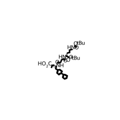 C[C@H](C[C@@H](Cc1ccc(-c2ccccc2)cc1)NC(=O)CCC(=O)N[C@@H](CCCCNC(=O)OC(C)(C)C)C(=O)OC(C)(C)C)C(=O)O